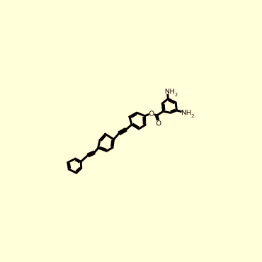 Nc1cc(N)cc(C(=O)Oc2ccc(C#Cc3ccc(C#Cc4ccccc4)cc3)cc2)c1